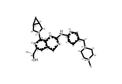 C[C@@H](O)c1cc2cnc(Nc3ccc(CN4CCN(C)CC4)cn3)nc2c(N2CC3CC3C2)n1